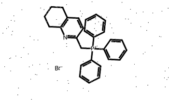 [Br-].c1ccc([P+](Cc2ccc3c(n2)CCCC3)(c2ccccc2)c2ccccc2)cc1